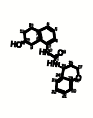 O=C(Nc1cccc2c1CC(O)CC2)N[C@@H]1CCOc2ccccc21